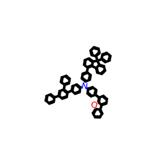 c1ccc(-c2ccc(-c3ccc(N(c4ccc(-c5cccc6c5-c5ccccc5C6(c5ccccc5)c5ccccc5)cc4)c4ccc(-c5cccc6c5oc5ccccc56)cc4)cc3)c(-c3ccccc3)c2)cc1